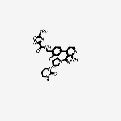 CN1CCCN([C@@H]2CCN(c3n[nH]c4nccc(-c5ccc(CNC(=O)c6noc(C(C)(C)C)n6)c(F)c5)c34)C2)C1=O